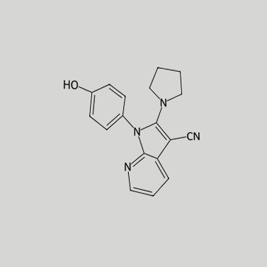 N#Cc1c(N2CCCC2)n(-c2ccc(O)cc2)c2ncccc12